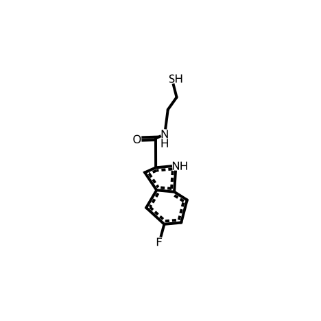 O=C(NCCS)c1cc2cc(F)ccc2[nH]1